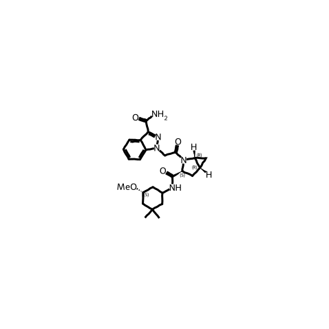 CO[C@@H]1CC(NC(=O)[C@@H]2C[C@H]3C[C@H]3N2C(=O)Cn2nc(C(N)=O)c3ccccc32)CC(C)(C)C1